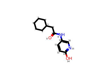 O=C(CC1CCCCC1)Nc1ccc(O)nc1